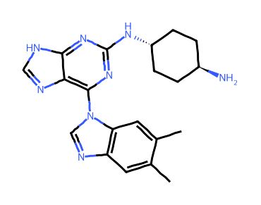 Cc1cc2ncn(-c3nc(N[C@H]4CC[C@H](N)CC4)nc4[nH]cnc34)c2cc1C